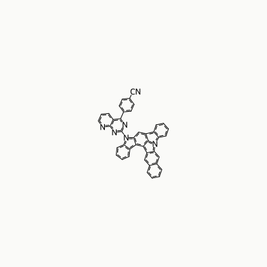 N#Cc1ccc(-c2nc(-n3c4ccccc4c4c5c6cc7ccccc7cc6n6c7ccccc7c(cc43)c56)nc3ncccc23)cc1